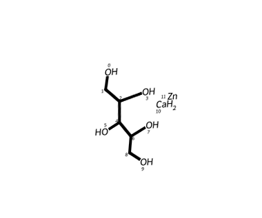 OCC(O)C(O)C(O)CO.[CaH2].[Zn]